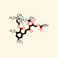 Cc1cc(C)c(C(=O)OCC[Si](C)(C)C)c(/C=C/C(=O)C2OC(C)(C)OC2COC(=O)C(C)(C)C)c1